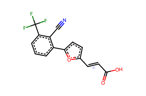 N#Cc1c(-c2ccc(/C=C/C(=O)O)o2)cccc1C(F)(F)F